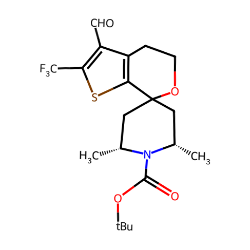 C[C@@H]1CC2(C[C@H](C)N1C(=O)OC(C)(C)C)OCCc1c2sc(C(F)(F)F)c1C=O